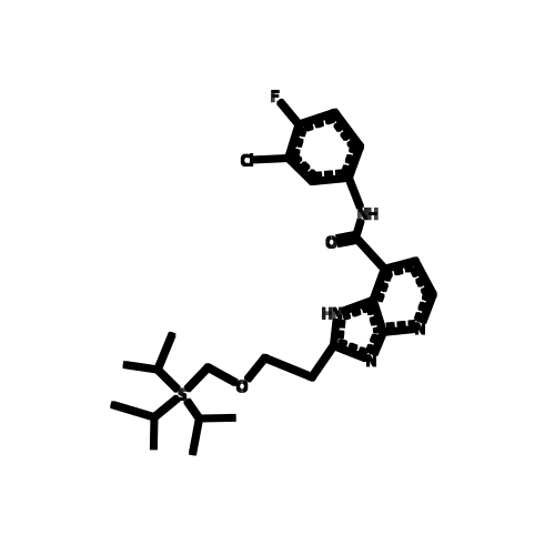 CC(C)S(COCCc1nc2nccc(C(=O)Nc3ccc(F)c(Cl)c3)c2[nH]1)(C(C)C)C(C)C